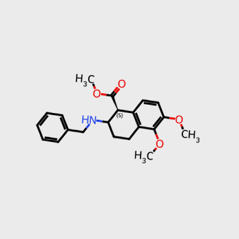 COC(=O)[C@H]1c2ccc(OC)c(OC)c2CCC1NCc1ccccc1